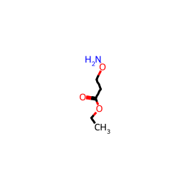 CCOC(=O)CCON